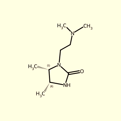 C[C@H]1NC(=O)N(CCN(C)C)[C@H]1C